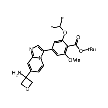 COc1cc(-c2cnc3cc(C4(N)COC4)ccn23)cc(OC(F)F)c1C(=O)OC(C)(C)C